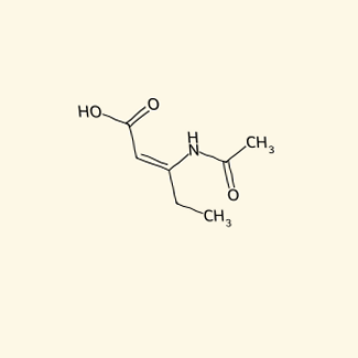 CC/C(=C/C(=O)O)NC(C)=O